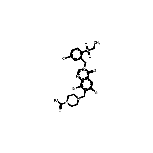 CCS(=O)(=O)c1ccc(Cl)cc1Cn1cnc2c(Br)c(CN3CCN(C(=O)O)CC3)c(Br)cc2c1=O